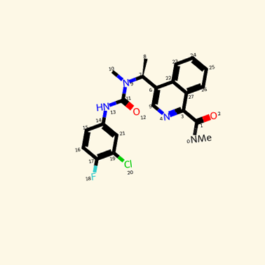 CNC(=O)c1ncc([C@H](C)N(C)C(=O)Nc2ccc(F)c(Cl)c2)c2ccccc12